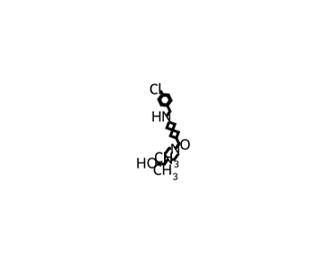 CC(C)(O)CN1CCN(C(=O)C2CC3(CC(NCc4ccc(Cl)cc4)C3)C2)CC1